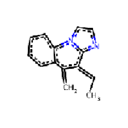 C=c1/c(=C\C)c2nccn2c2ccccc12